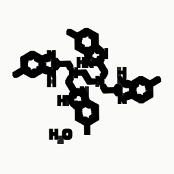 Cc1ccc2nc(CN(CCN(Cc3nc4ccc(C)cc4[nH]3)Cc3nc4ccc(C)cc4[nH]3)Cc3nc4ccc(C)cc4[nH]3)[nH]c2c1.O